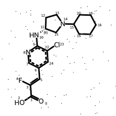 O=C(O)C(F)=Cc1cnc(N[C@@H]2CCN(C3CCCCC3)C2)c(Cl)c1